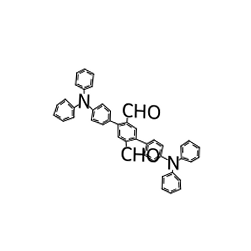 O=Cc1cc(-c2ccc(N(c3ccccc3)c3ccccc3)cc2)c(C=O)cc1-c1ccc(N(c2ccccc2)c2ccccc2)cc1